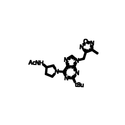 CC(=O)NC1CCN(c2nc(C(C)(C)C)nc3c2ncn3Cc2nonc2C)C1